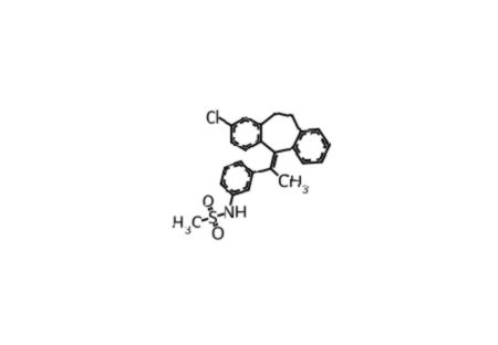 C/C(=C1\c2ccccc2CCc2cc(Cl)ccc21)c1cccc(NS(C)(=O)=O)c1